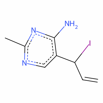 C=CC(I)c1cnc(C)nc1N